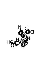 C[C@@]1(Cc2ccc(C#N)cc2)C(=O)N(c2cc(Cl)cc(Cl)c2)c2ncc(S(=O)(=O)N3CCC[C@H]3C(=O)N3CCC(C(=O)O)CC3)n21